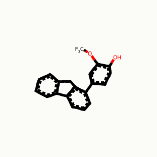 Oc1ccc(-c2cccc3c2Cc2ccccc2-3)cc1OC(F)(F)F